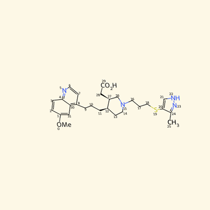 COc1ccc2nccc(CCC[C@@H]3CCN(CCCSc4c[nH]nc4C)C[C@@H]3CC(=O)O)c2c1